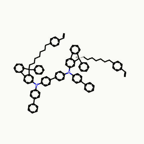 C=Cc1ccc(CCCCCCCC2(c3ccccc3)c3ccccc3-c3ccc(N(c4ccc(-c5ccccc5)cc4)c4ccc(-c5ccc(N(c6ccc(-c7ccccc7)cc6)c6ccc7c(c6)[C@](CCCCCCCc6ccc(C=C)cc6)(c6ccccc6)c6ccccc6-7)cc5)cc4)cc32)cc1